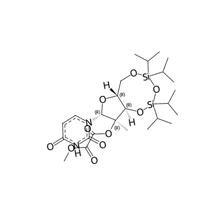 COC(=O)C(=O)O[C@]1(C)[C@@H]2O[Si](C(C)C)(C(C)C)O[Si](C(C)C)(C(C)C)OC[C@H]2O[C@H]1n1ccc(=O)[nH]c1=O